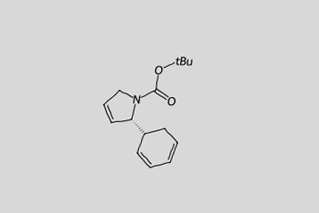 CC(C)(C)OC(=O)N1CC=C[C@H]1C1C=CC=CC1